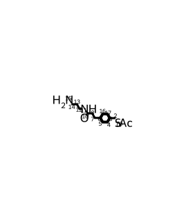 CC(=O)SCc1ccc(CCC(=O)NCCCN)cc1